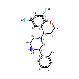 Cc1ccccc1C1CN(C2CCOc3c(F)cc(F)cc32)CCN1